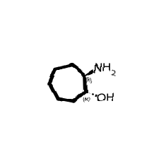 N[C@@H]1CCCCC[C@H]1O